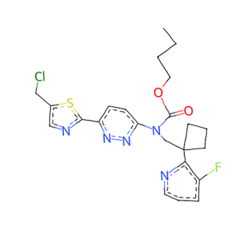 CCCCOC(=O)N(CC1(c2ncccc2F)CCC1)c1ccc(-c2ncc(CCl)s2)nn1